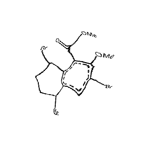 COC(=O)c1c(OC)c(Br)cc2c1C(Br)CCC2Br